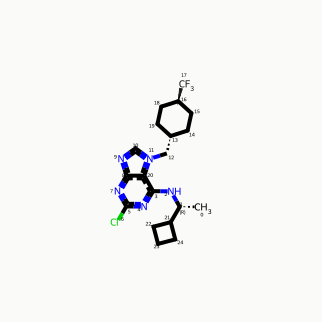 C[C@@H](Nc1nc(Cl)nc2ncn(C[C@H]3CC[C@H](C(F)(F)F)CC3)c12)C1CCC1